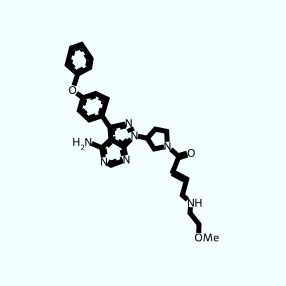 COCCNC/C=C/C(=O)N1CCC(n2nc(-c3ccc(Oc4ccccc4)cc3)c3c(N)ncnc32)C1